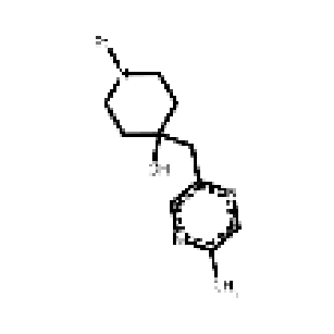 CCN1CCC(O)(Cc2cnc(C)cn2)CC1